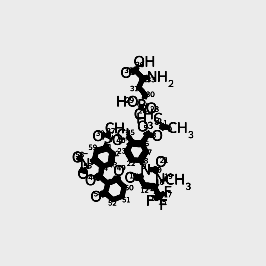 CC(C)OC(=O)c1cc(-n2c(=O)cc(C(F)(F)F)n(C)c2=O)ccc1Cl.CP(=O)(O)CCC(N)C(=O)O.CS(=O)(=O)c1ccc(C(=O)C2C(=O)CCCC2=O)c([N+](=O)[O-])c1